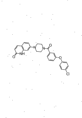 O=C(c1cccc(Oc2ccc(Cl)cc2)c1)N1CCN(c2ccc3ccc(=O)[nH]c3c2)CC1